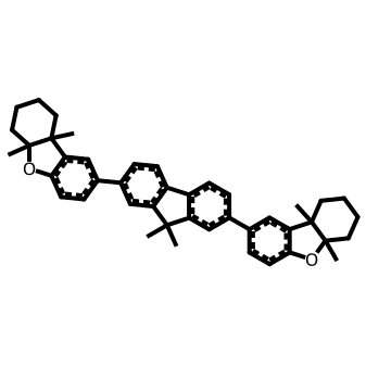 CC1(C)c2cc(-c3ccc4c(c3)C3(C)CCCCC3(C)O4)ccc2-c2ccc(-c3ccc4c(c3)C3(C)CCCCC3(C)O4)cc21